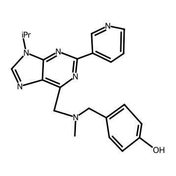 CC(C)n1cnc2c(CN(C)Cc3ccc(O)cc3)nc(-c3cccnc3)nc21